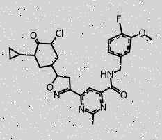 COc1cc(CNC(=O)c2cc(C3=NOC(C4CC(Cl)C(=O)C(C5CC5)C4)C3)nc(C)n2)ccc1F